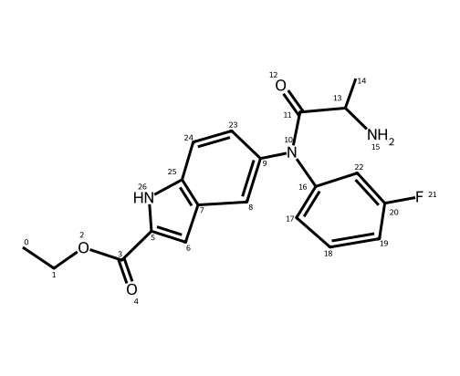 CCOC(=O)c1cc2cc(N(C(=O)C(C)N)c3cccc(F)c3)ccc2[nH]1